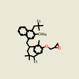 CCC1c2cc(OCC3CO3)c(C)c(c2)C(Cc2cc(OC)c(CC(C)(C)CC)c3ccccc23)CC1(C)C